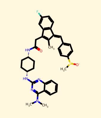 CC1=C(CC(=O)N[C@H]2CC[C@@H](Nc3nc(N(C)C)c4ccccc4n3)CC2)c2cc(F)ccc2/C1=C/c1ccc([S+](C)[O-])cc1